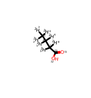 [2H]C([2H])([2H])C([2H])([2H])C([2H])([2H])C(=O)O